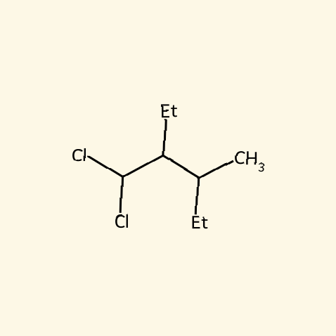 [CH2]CC(C)C(CC)C(Cl)Cl